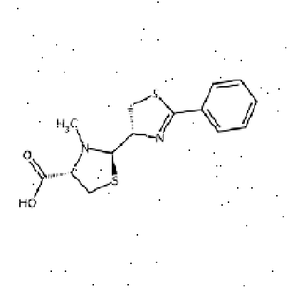 CN1[C@@H](C(=O)O)CS[C@@H]1[C@@H]1CSC(c2ccccc2)=N1